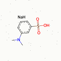 CN(C)c1cccc(S(=O)(=O)O)c1.[NaH]